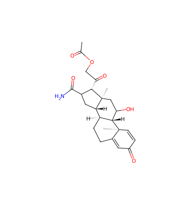 CC(=O)OCC(=O)[C@H]1C(C(N)=O)C[C@H]2[C@@H]3CCC4=CC(=O)C=C[C@]4(C)[C@H]3C(O)C[C@]12C